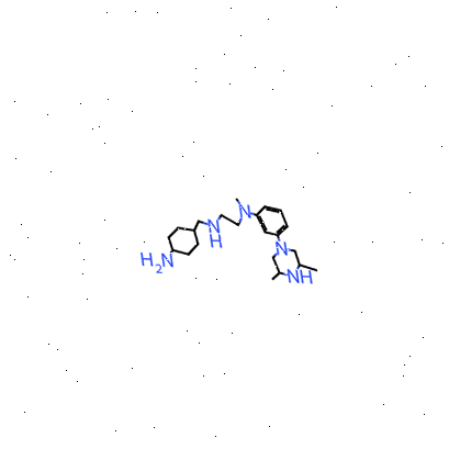 CC1CN(c2cccc(N(C)CCNCC3CCC(N)CC3)c2)CC(C)N1